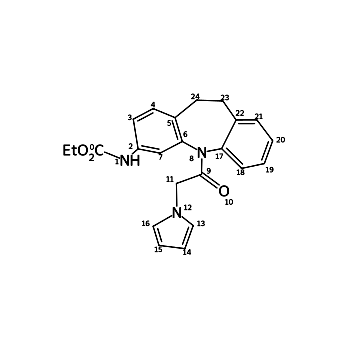 CCOC(=O)Nc1ccc2c(c1)N(C(=O)Cn1cccc1)c1ccccc1CC2